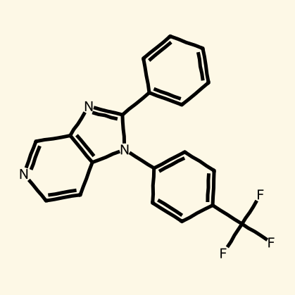 FC(F)(F)c1ccc(-n2c(-c3ccccc3)nc3cnccc32)cc1